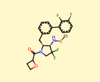 CCSN[C@@H]1[C@H](Cc2cccc(-c3cccc(F)c3F)c2)N(C(=O)C2CCO2)CC1(F)F